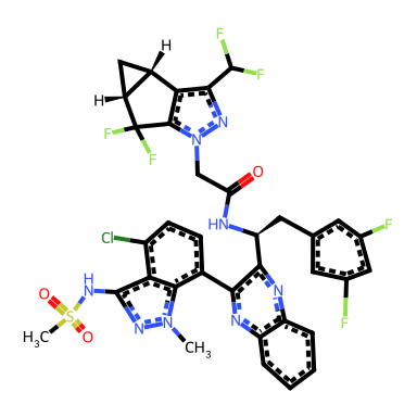 Cn1nc(NS(C)(=O)=O)c2c(Cl)ccc(-c3nc4ccccc4nc3[C@H](Cc3cc(F)cc(F)c3)NC(=O)Cn3nc(C(F)F)c4c3C(F)(F)[C@@H]3C[C@H]43)c21